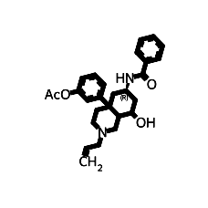 C=CCN1CCC2(c3cccc(OC(C)=O)c3)C[C@@H](NC(=O)c3ccccc3)CC(O)C2C1